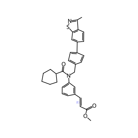 COC(=O)/C=C/c1cccc(N(Cc2ccc(-c3ccc4c(C)nsc4c3)cc2)C(=O)C2CCCCC2)c1